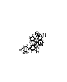 CN1CCN(c2ccc(Nc3ncc4c(n3)N(C3CCCC3)C(=O)NC4)c(Br)c2)CC1